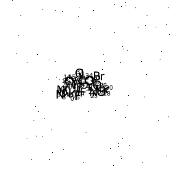 C[C@@H](CC(F)(F)F)n1cnnc1-c1cccc(N2Cc3c(CN(C)C(=O)OC(C)(C)C)cc(Br)cc3C2=O)n1